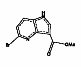 COC(=O)c1c[nH]c2ccc(Br)nc12